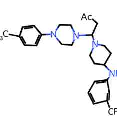 CC(=O)CC(N1CCC(Nc2cccc(C(F)(F)F)c2)CC1)N1CCN(c2ccc(C(F)(F)F)cc2)CC1